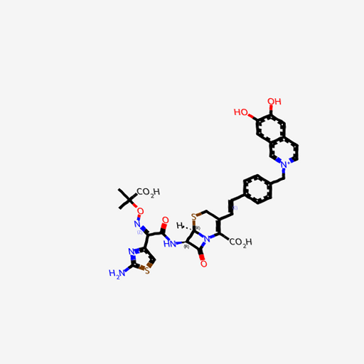 CC(C)(O/N=C(\C(=O)N[C@@H]1C(=O)N2C(C(=O)O)=C(/C=C/c3ccc(C[n+]4ccc5cc(O)c(O)cc5c4)cc3)CS[C@H]12)c1csc(N)n1)C(=O)O